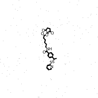 CC(SSc1ccccn1)c1ccc(C(=O)NCCCCCC(=O)ON2C(=O)CCC2=O)cc1